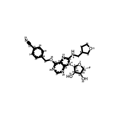 C[C@H]1O[C@@H](n2c(NCC3CCOC3)nc3c(OCc4ccc(C#N)cc4)ncnc32)[C@H](O)[C@@H]1O